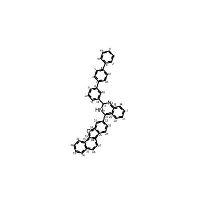 c1ccc(-c2ccc(-c3cccc(C4N=c5ccccc5=C(c5ccc6c(c5)oc5c7ccccc7ccc65)N4)c3)cc2)cc1